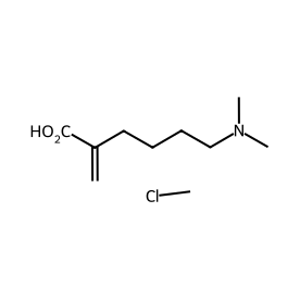 C=C(CCCCN(C)C)C(=O)O.CCl